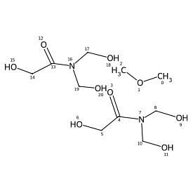 COC.O=C(CO)N(CO)CO.O=C(CO)N(CO)CO